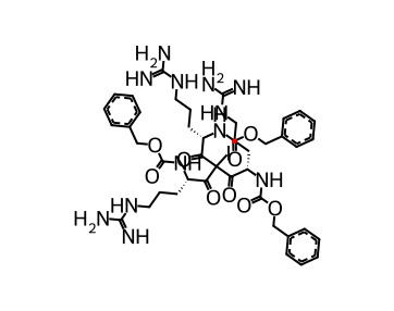 N=C(N)NCCC[C@H](NC(=O)OCc1ccccc1)C(=O)C(I)(C(=O)[C@H](CCCNC(=N)N)NC(=O)OCc1ccccc1)C(=O)[C@H](CCCNC(=N)N)NC(=O)OCc1ccccc1